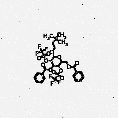 C[Si](C)(C)CCO[C@@H]1OC(COC(=O)c2ccccc2)[C@H](OS(=O)(=O)C(F)(F)F)C(OC(=O)c2ccccc2)[C@@H]1OS(=O)(=O)C(F)(F)F